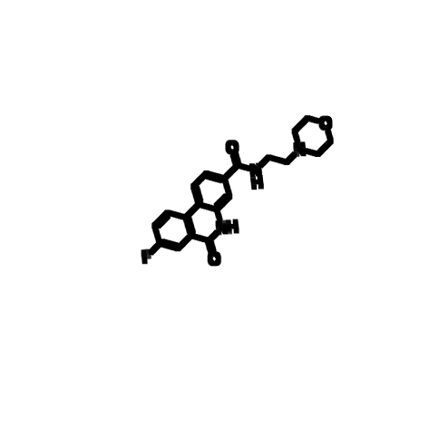 O=C(NCCN1CCOCC1)c1ccc2c(c1)[nH]c(=O)c1cc(F)ccc12